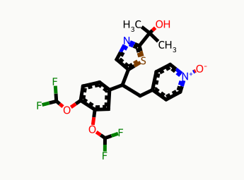 CC(C)(O)c1ncc(C(Cc2cc[n+]([O-])cc2)c2ccc(OC(F)F)c(OC(F)F)c2)s1